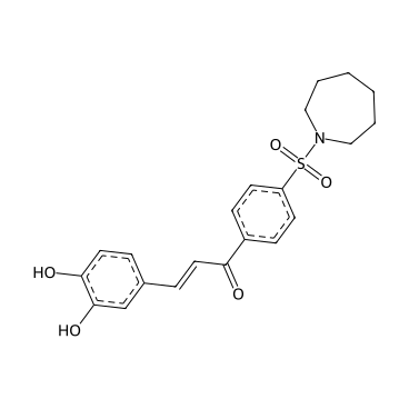 O=C(C=Cc1ccc(O)c(O)c1)c1ccc(S(=O)(=O)N2CCCCCC2)cc1